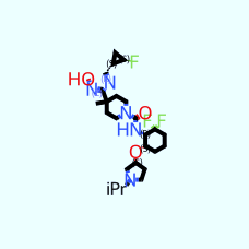 CC(C)N1CC[C@H](O[C@H]2CCCC(F)(F)[C@@H]2NC(=O)N2CCC(C)(C(=N/O)/N=C/[C@@H]3C[C@@H]3F)CC2)C1